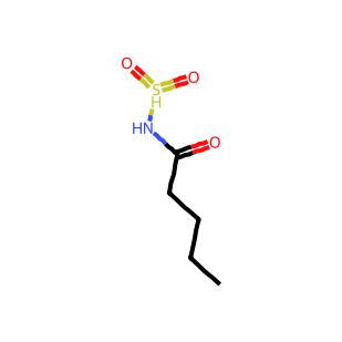 CCCCC(=O)N[SH](=O)=O